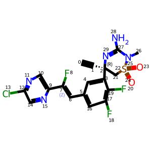 C#C[C@@]1(c2cc(/C=C(\F)c3cnc(Cl)cn3)cc(F)c2F)CS(=O)(=O)N(C)C(N)=N1